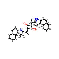 C/C(C1=Nc2ccc3ccccc3c2C1(C)C)=C1/C(=O)C(C(/C)=C2/Nc3ccc4ccccc4c3C2(C)C)=C1O